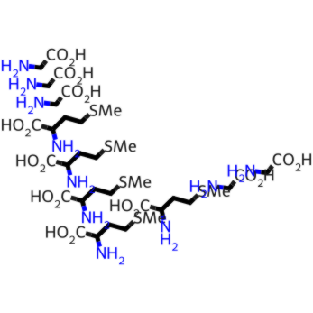 CSCCC(N)C(=O)O.CSCCC(N)C(=O)O.CSCCC(N)C(=O)O.CSCCC(N)C(=O)O.CSCCC(N)C(=O)O.NCC(=O)O.NCC(=O)O.NCC(=O)O.NCC(=O)O.NCC(=O)O